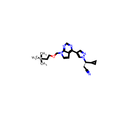 C[Si](C)(C)CCOCn1ccc2c(-c3cnn([C@@H](CC#N)C4CC4)c3)ncnc21